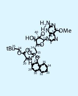 COc1nc(N)nc2c1ncn2C1O[C@H](CCP(=O)(N[C@@H](C)C(=O)OCC(C)(C)C)Oc2cccc3ccccc23)[C@@H](O)[C@@]1(C)O